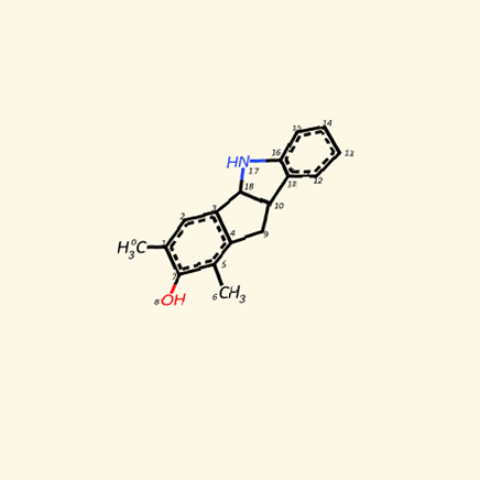 Cc1cc2c(c(C)c1O)CC1c3ccccc3NC21